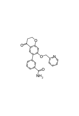 NC(=O)c1cccc(-c2cc3c(cc2OCc2ccccn2)OCCC3=O)c1